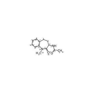 CC(=O)NC1CCc2ccccc2N(C)C1=O